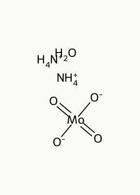 O.[NH4+].[NH4+].[O]=[Mo](=[O])([O-])[O-]